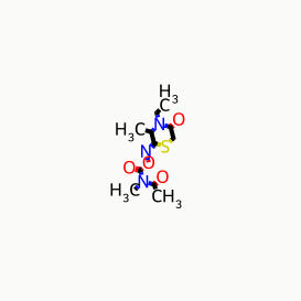 CCN1C(=O)CSC(=NOC(=O)N(C)C(C)=O)C1C